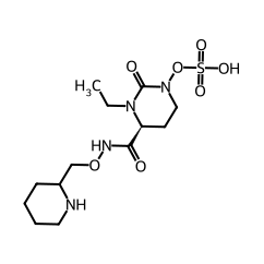 CCN1C(=O)N(OS(=O)(=O)O)CC[C@H]1C(=O)NOCC1CCCCN1